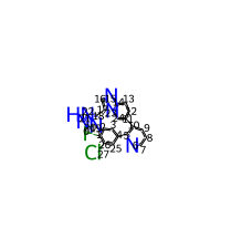 Fc1ccc(-c2ncccc2-c2ccc3ncc(-c4ncn[nH]4)n3c2)cc1Cl